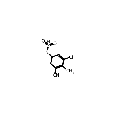 CC1=C(C#N)CC(N[SH](=O)=O)C=C1Cl